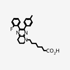 Cc1ccc(-c2nc3c(nc2-c2ccccc2F)CCCN3CCCCCCC(=O)O)cc1